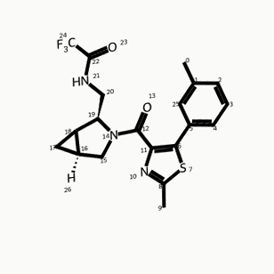 Cc1cccc(-c2sc(C)nc2C(=O)N2C[C@H]3CC3[C@H]2CNC(=O)C(F)(F)F)c1